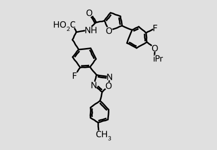 Cc1ccc(-c2nc(-c3ccc(CC(NC(=O)c4ccc(-c5ccc(OC(C)C)c(F)c5)o4)C(=O)O)cc3F)no2)cc1